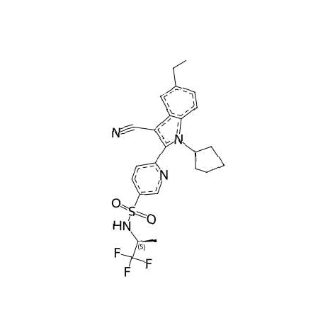 CCc1ccc2c(c1)c(C#N)c(-c1ccc(S(=O)(=O)N[C@@H](C)C(F)(F)F)cn1)n2C1CCCC1